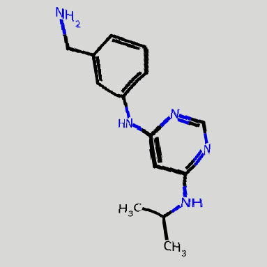 CC(C)Nc1cc(Nc2cccc(CN)c2)ncn1